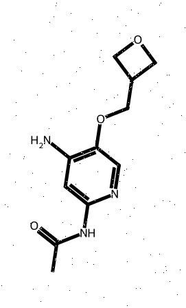 CC(=O)Nc1cc(N)c(OCC2COC2)cn1